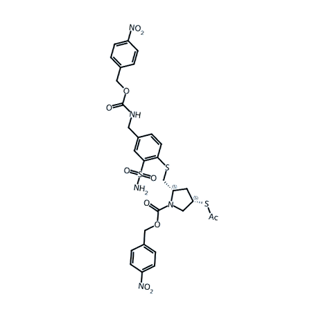 CC(=O)S[C@H]1C[C@@H](CSc2ccc(CNC(=O)OCc3ccc([N+](=O)[O-])cc3)cc2S(N)(=O)=O)N(C(=O)OCc2ccc([N+](=O)[O-])cc2)C1